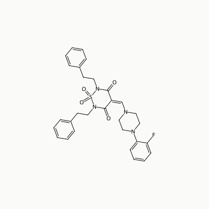 O=C1C(=CN2CCN(c3ccccc3F)CC2)C(=O)N(CCc2ccccc2)S(=O)(=O)N1CCc1ccccc1